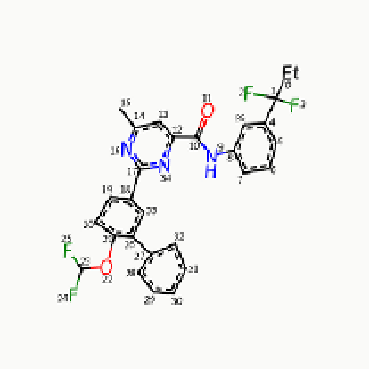 CCC(F)(F)c1cccc(NC(=O)c2cc(C)nc(-c3ccc(OC(F)F)c(-c4ccccc4)c3)n2)c1